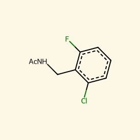 CC(=O)NCc1c(F)cccc1Cl